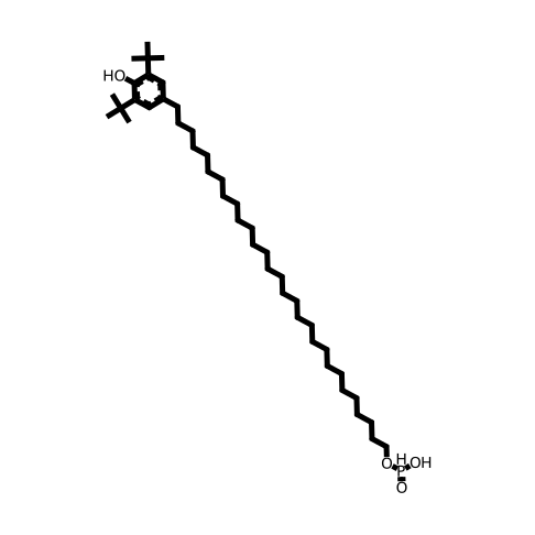 CC(C)(C)c1cc(CCCCCCCCCCCCCCCCCCCCCCCCCCCCCO[PH](=O)O)cc(C(C)(C)C)c1O